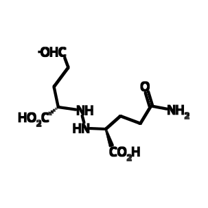 NC(=O)CC[C@H](NN[C@@H](CC[C]=O)C(=O)O)C(=O)O